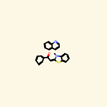 CN1C(=CC(=O)c2ccccc2)Sc2ccccc21.c1ccc2ncccc2c1